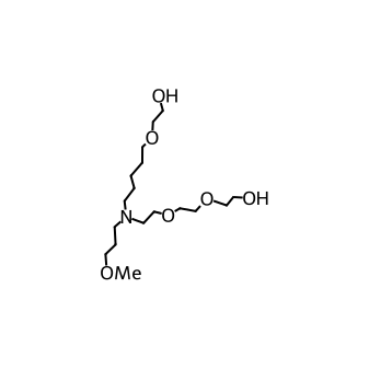 COCCCN(CCCCCOCCO)CCOCCOCCO